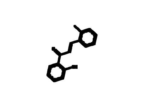 Cc1ccccc1/C=C/C(=O)c1ccccc1O